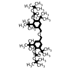 CC(C)(C)OC(=O)Oc1c(C(C)(C)C)cc(COCc2cc(C(C)(C)C)c(OC(=O)OC(C)(C)C)c(C(C)(C)C)c2)cc1C(C)(C)C